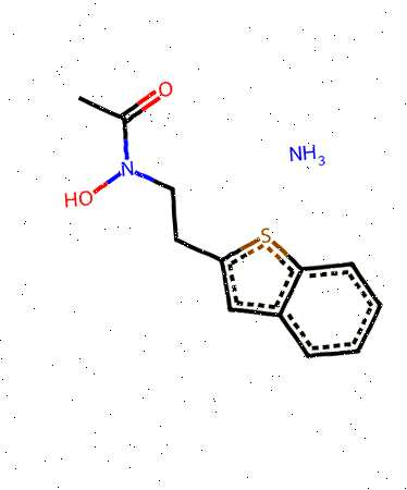 CC(=O)N(O)CCc1cc2ccccc2s1.N